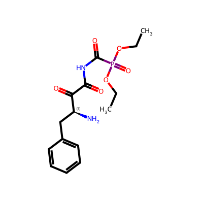 CCOP(=O)(OCC)C(=O)NC(=O)C(=O)[C@@H](N)Cc1ccccc1